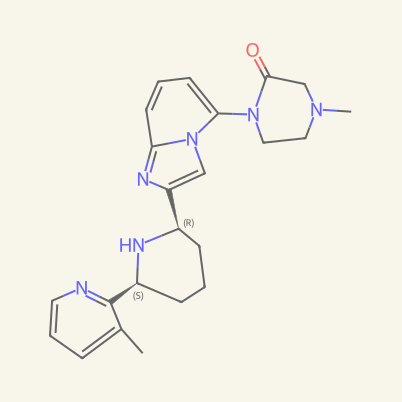 Cc1cccnc1[C@@H]1CCC[C@H](c2cn3c(N4CCN(C)CC4=O)cccc3n2)N1